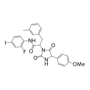 COc1ccc(C2NC(=O)N(C(Cc3cccc(C)c3)C(=O)Nc3ccc(I)cc3F)C2=O)cc1